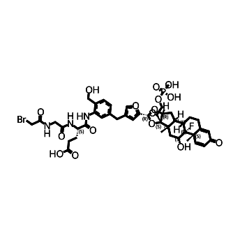 C[C@]12C=CC(=O)C=C1CC[C@H]1[C@@H]3C[C@H]4O[C@@H](c5cc(Cc6ccc(CO)c(NC(=O)[C@H](CCC(=O)O)NC(=O)CNC(=O)CBr)c6)co5)O[C@@]4(C(=O)COP(=O)(O)O)[C@@]3(C)C[C@H](O)[C@@]12F